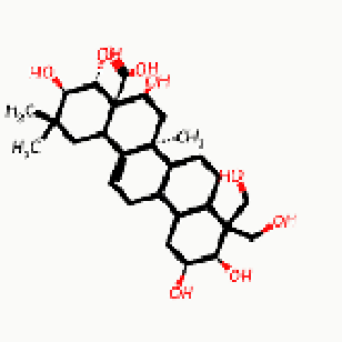 CC1(C)CC2C3=CCC4C5C[C@H](O)[C@H](O)C(CO)(CO)C5CCC4[C@]3(C)C[C@@H](O)[C@@]2(C(=O)O)[C@@H](O)[C@@H]1O